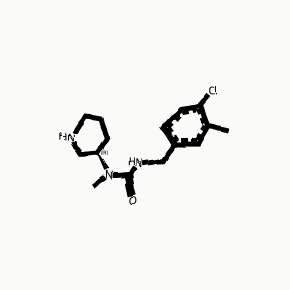 Cc1cc(CNC(=O)N(C)[C@@H]2CCCNC2)ccc1Cl